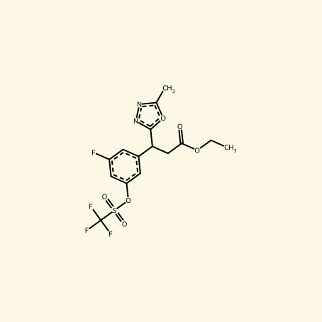 CCOC(=O)CC(c1cc(F)cc(OS(=O)(=O)C(F)(F)F)c1)c1nnc(C)o1